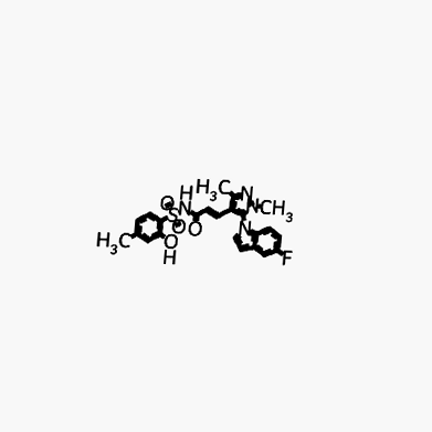 Cc1ccc(S(=O)(=O)NC(=O)C=Cc2c(C)nn(C)c2-n2ccc3cc(F)ccc32)c(O)c1